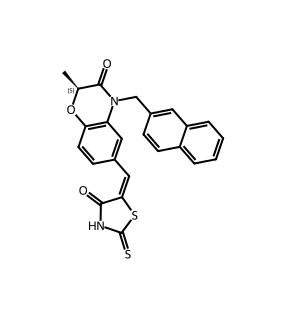 C[C@@H]1Oc2ccc(C=C3SC(=S)NC3=O)cc2N(Cc2ccc3ccccc3c2)C1=O